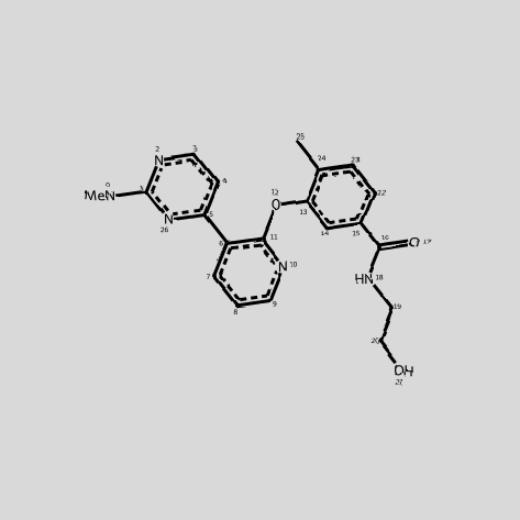 CNc1nccc(-c2cccnc2Oc2cc(C(=O)NCCO)ccc2C)n1